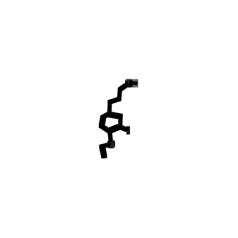 C=COc1ccc(CCCO)cc1I